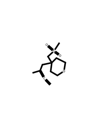 C=C=C(C)CC1(CS(C)(=O)=O)CCOCC1